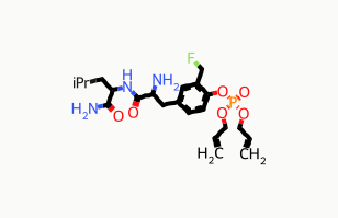 C=CCOP(=O)(OCC=C)Oc1ccc(CC(N)C(=O)NC(CC(C)C)C(N)=O)cc1CF